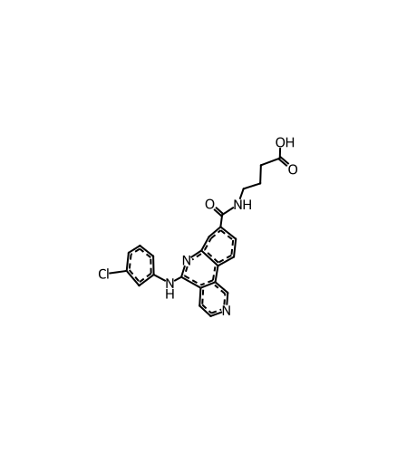 O=C(O)CCCNC(=O)c1ccc2c(c1)nc(Nc1cccc(Cl)c1)c1ccncc12